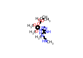 CNCCCN(C)Cc1c[nH]c2ncnc(Nc3cc(OCC(=O)OC(C)(C)C)c(OC)cc3OC)c12